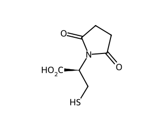 O=C(O)[C@H](CS)N1C(=O)CCC1=O